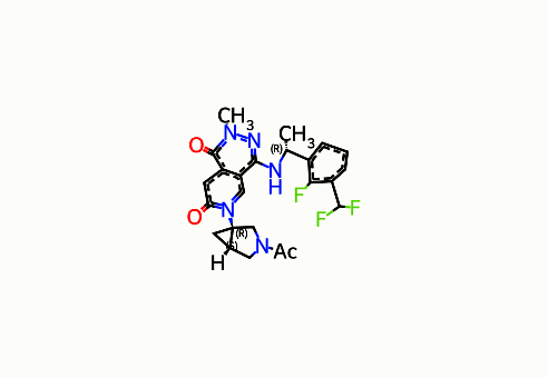 CC(=O)N1C[C@@H]2C[C@]2(n2cc3c(N[C@H](C)c4cccc(C(F)F)c4F)nn(C)c(=O)c3cc2=O)C1